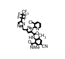 CNC(=O)c1cc(C#N)cc(C)c1NC(=O)c1cc(Cn2ncc(C(F)(F)C(F)(F)C(F)(F)F)n2)nn1-c1ncccc1Cl